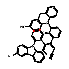 C#C/C=C(\C(=C/C)c1ccccc1-n1c2ccccc2c2cc(C#N)ccc21)c1cccc(N2c3ccccc3Cc3cc(C#N)ccc32)c1C#N